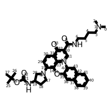 CN(C)CCCCNC(=O)c1cn2c3c(c(N4CCC(NC(=O)OC(C)(C)C)C4)ccc3c1=O)Oc1cc3ccccc3cc1-2